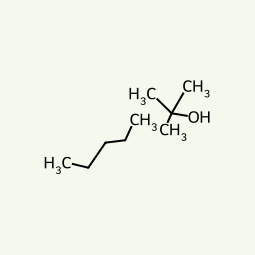 CC(C)(C)O.CCCCC